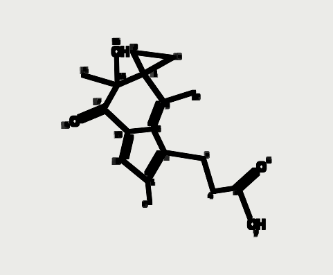 CC1=C(CCC(=O)O)C2=C(C)C3(CC3)C(C)(O)C(=O)C2=C1